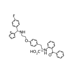 O=C(c1ccccc1)c1ccccc1N[C@@H](Cc1ccc(OCCNC(c2ccc(F)cc2)c2cccs2)cc1)C(=O)O